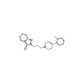 Cc1ccccc1C1=CCN(CCCn2nc3ccccn3c2=O)CC1